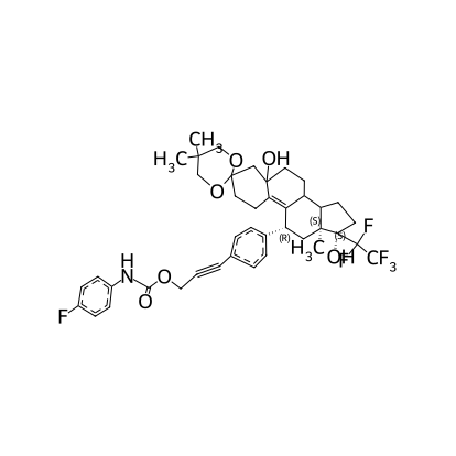 CC1(C)COC2(CCC3=C4C(CCC3(O)C2)C2CC[C@@](O)(C(F)(F)C(F)(F)F)[C@@]2(C)C[C@@H]4c2ccc(C#CCOC(=O)Nc3ccc(F)cc3)cc2)OC1